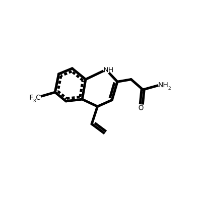 C=CC1C=C(CC(N)=O)Nc2ccc(C(F)(F)F)cc21